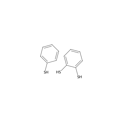 Sc1ccccc1.Sc1ccccc1S